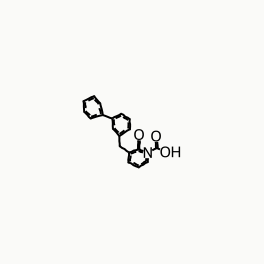 O=C(O)n1cccc(Cc2cccc(-c3ccccc3)c2)c1=O